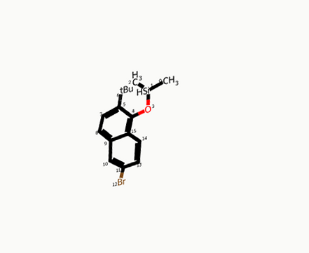 C[SiH](C)Oc1c(C(C)(C)C)ccc2cc(Br)ccc12